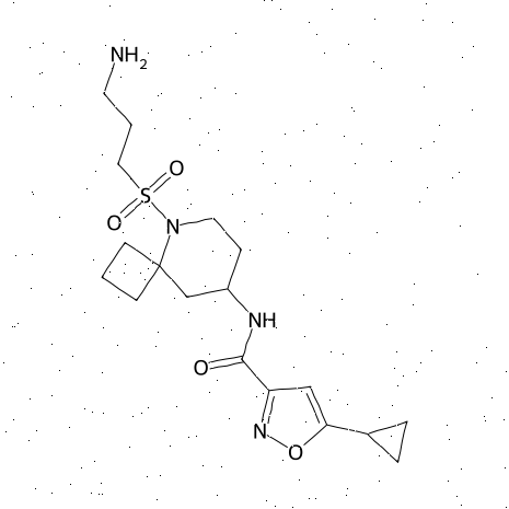 NCCCS(=O)(=O)N1CCC(NC(=O)c2cc(C3CC3)on2)CC12CCC2